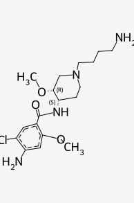 COc1cc(N)c(Cl)cc1C(=O)N[C@H]1CCN(CCCCN)C[C@H]1OC